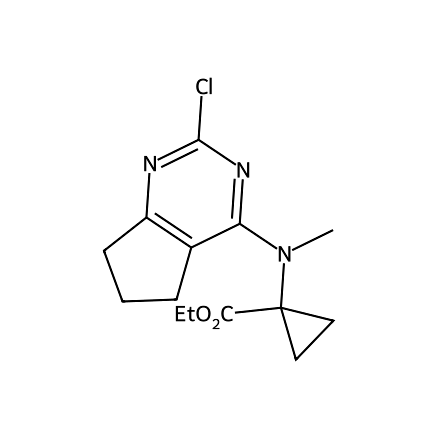 CCOC(=O)C1(N(C)c2nc(Cl)nc3c2CCC3)CC1